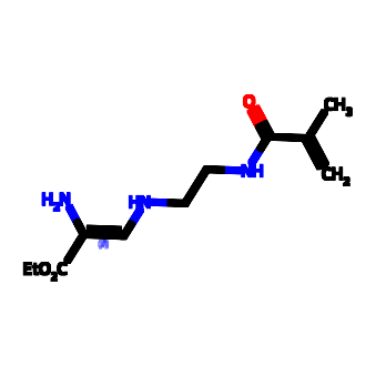 C=C(C)C(=O)NCCN/C=C(\N)C(=O)OCC